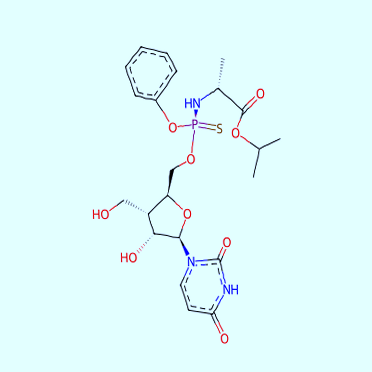 CC(C)OC(=O)[C@@H](C)N[P@@](=S)(OC[C@H]1O[C@@H](n2ccc(=O)[nH]c2=O)[C@H](O)[C@@H]1CO)Oc1ccccc1